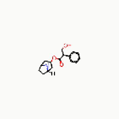 CN1C2CC[C@H]1CC(OC(=O)C(CO)c1ccccc1)C2